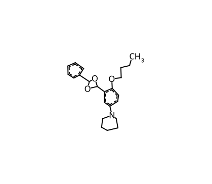 CCCCOc1ccc(N2CCCCC2)cc1C1OC(c2ccccc2)O1